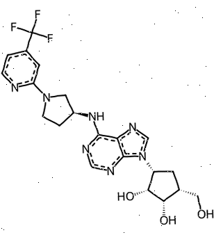 OC[C@H]1C[C@@H](n2cnc3c(N[C@H]4CCN(c5cc(C(F)(F)F)ccn5)C4)ncnc32)[C@@H](O)[C@H]1O